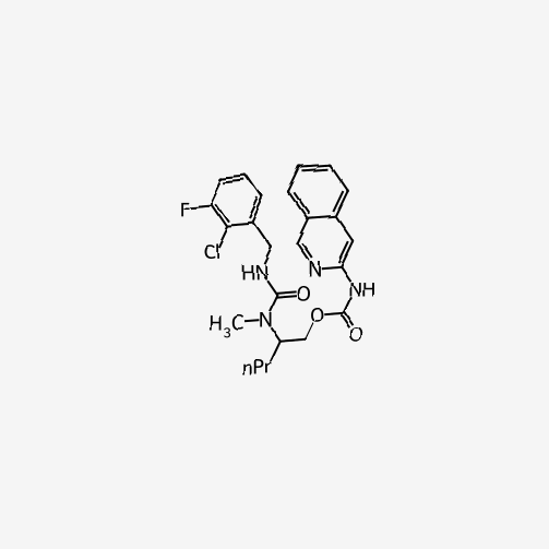 CCCC(COC(=O)Nc1cc2ccccc2cn1)N(C)C(=O)NCc1cccc(F)c1Cl